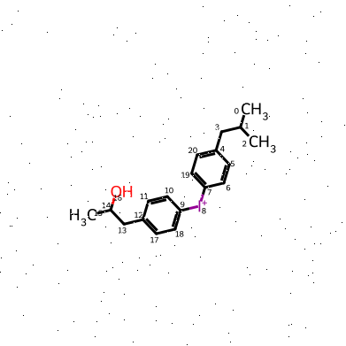 CC(C)Cc1ccc([I+]c2ccc(CC(C)O)cc2)cc1